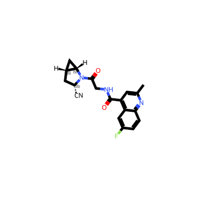 Cc1cc(C(=O)NCC(=O)N2[C@H](C#N)C[C@@H]3C[C@@H]32)c2cc(F)ccc2n1